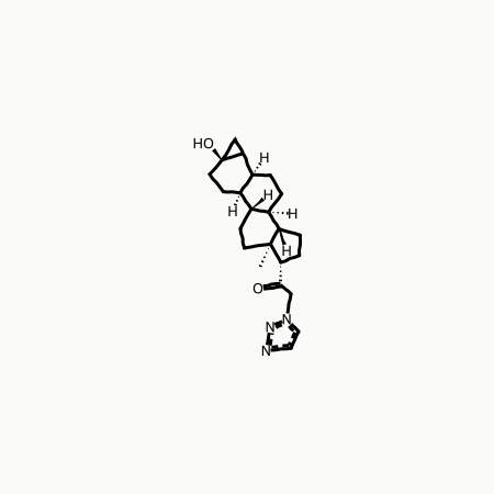 C[C@]12CC[C@@H]3[C@H]4CC[C@]5(O)CC5[C@H]4CC[C@H]3[C@@H]1CC[C@@H]2C(=O)Cn1ccnn1